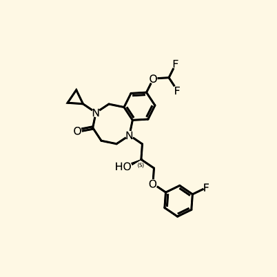 O=C1CCN(C[C@H](O)COc2cccc(F)c2)c2ccc(OC(F)F)cc2CN1C1CC1